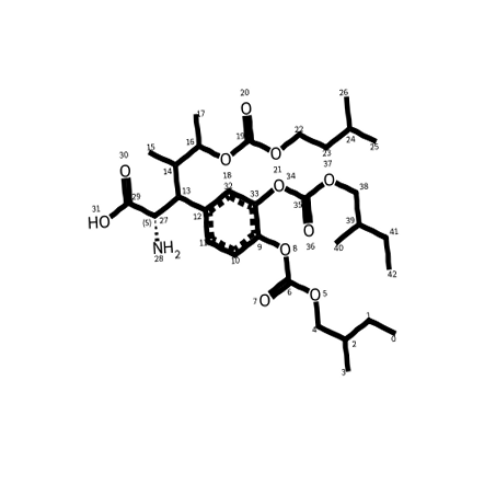 CCC(C)COC(=O)Oc1ccc(C(C(C)C(C)OC(=O)OCCC(C)C)[C@H](N)C(=O)O)cc1OC(=O)OCC(C)CC